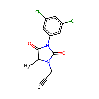 C#CCN1C(=O)N(c2cc(Cl)cc(Cl)c2)C(=O)C1C